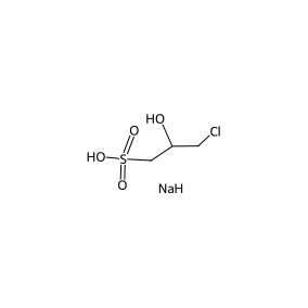 O=S(=O)(O)CC(O)CCl.[NaH]